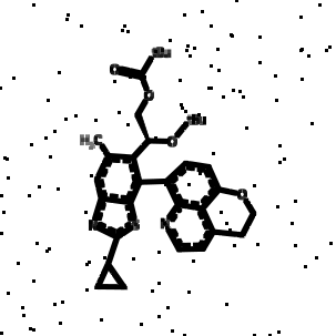 Cc1cc2nc(C3CC3)sc2c(-c2ccc3c4c(ccnc24)CCO3)c1[C@@H](COC(=O)C(C)(C)C)OC(C)(C)C